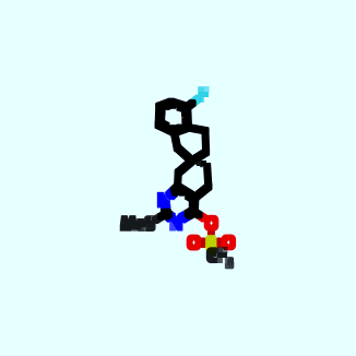 CSc1nc2c(c(OS(=O)(=O)C(F)(F)F)n1)CC[C@]1(CCc3c(F)cccc3C1)C2